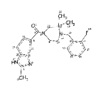 Cc1nc2cc(C(=O)N3CCN(Cc4ccccc4F)C(C)(C)C3)ccc2[nH]1